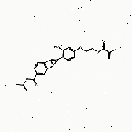 C=C(C)C(=O)OCCOc1ccc(-n2n3c4ccc(C(=O)OC(C)C)cc4n23)c(O)c1